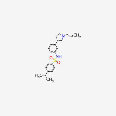 C=CCN1CCC(c2cccc(NS(=O)(=O)c3ccc(C(C)C)cc3)c2)C1